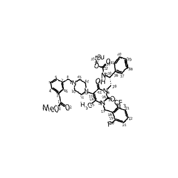 COC(=O)c1cccc(CN2CCN(c3c(C)n(Cc4c(F)cccc4C(F)(F)F)c(=O)n(C[C@H](NC(=O)OC(C)(C)C)c4ccccc4)c3=O)CC2)c1